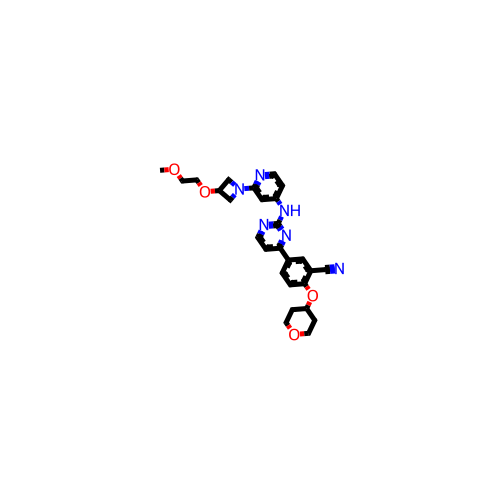 COCCOC1CN(c2cc(Nc3nccc(-c4ccc(OC5CCOCC5)c(C#N)c4)n3)ccn2)C1